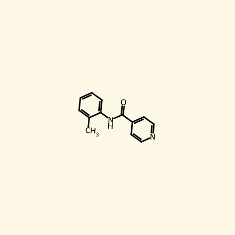 Cc1ccccc1NC(=O)c1ccncc1